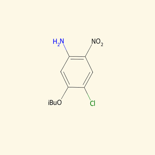 CC(C)COc1cc(N)c([N+](=O)[O-])cc1Cl